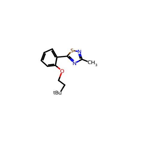 Cc1nsc(-c2ccccc2OCCC(C)(C)C)n1